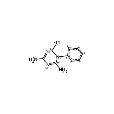 NC1=NC(Cl)N(c2ccccc2)C(N)=N1